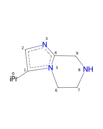 CC(C)c1cnc2n1CCNC2